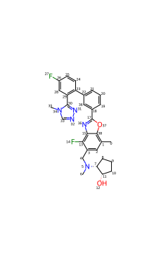 Cc1cc(CN(C)[C@@H]2CCC[C@@H]2O)c(F)c2nc(-c3cccc(-c4ccc(F)cc4-c4nncn4C)c3)oc12